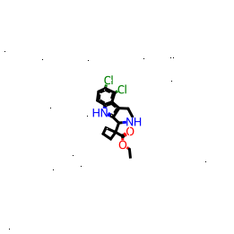 CCOC(=O)C1(C2NCCc3c2[nH]c2ccc(Cl)c(Cl)c32)CCC1